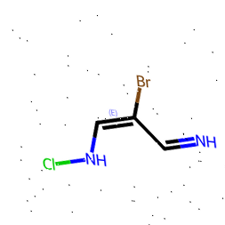 N=C/C(Br)=C\NCl